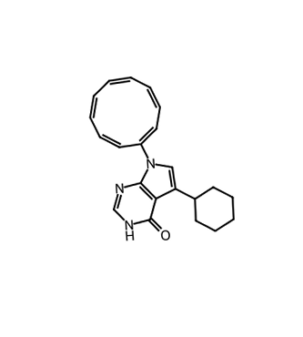 O=c1[nH]cnc2c1c(C1CCCCC1)cn2-c1ccccccccc1